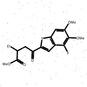 CCC(CC(=O)c1cc2c(F)c(OC)c(OC)cc2s1)C(=O)OC